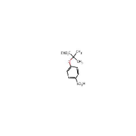 CCOC(=O)C(C)(C)Oc1ccc(S(=O)(=O)O)cc1